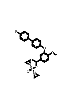 COc1ccc(C(C)OP(=O)(N2CC2)N2CC2)cc1Oc1ccc(-c2ccc(F)cc2)cc1